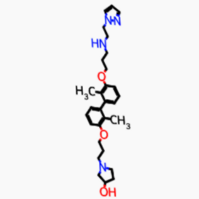 Cc1c(OCCCNCCn2cccn2)cccc1-c1cccc(OCCCN2CCC(O)C2)c1C